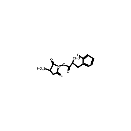 O=CC(Cc1ccccc1F)C(=O)ON1C(=O)CC(S(=O)(=O)O)C1=O